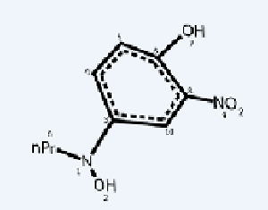 CCCN(O)c1ccc(O)c([N+](=O)[O-])c1